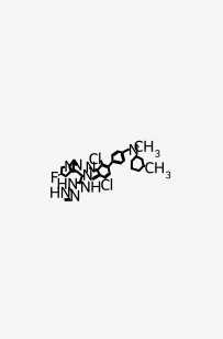 CC1CCCC(N(C)Cc2ccc(-c3cc(Cl)c4cn(C(C(=N)Nc5ncc[nH]5)c5ncn6c5C[C@@H](F)C6)nc4c3Cl)cc2)C1